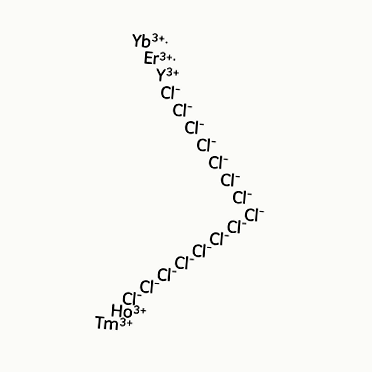 [Cl-].[Cl-].[Cl-].[Cl-].[Cl-].[Cl-].[Cl-].[Cl-].[Cl-].[Cl-].[Cl-].[Cl-].[Cl-].[Cl-].[Cl-].[Er+3].[Ho+3].[Tm+3].[Y+3].[Yb+3]